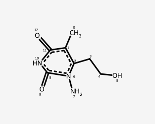 Cc1c(CCO)n(N)c(=O)[nH]c1=O